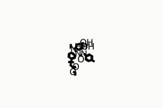 CCOC(=O)CC(C)(C)c1ccc(N(CC)C2CCS(O)(O)CC2)c(NC(=O)Nc2ccc(C)cc2)c1